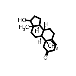 C[C@]12CC(=O)CC=C1CC[C@@H]1[C@@H]2CC[C@]2(C)C(O)CC[C@@H]12